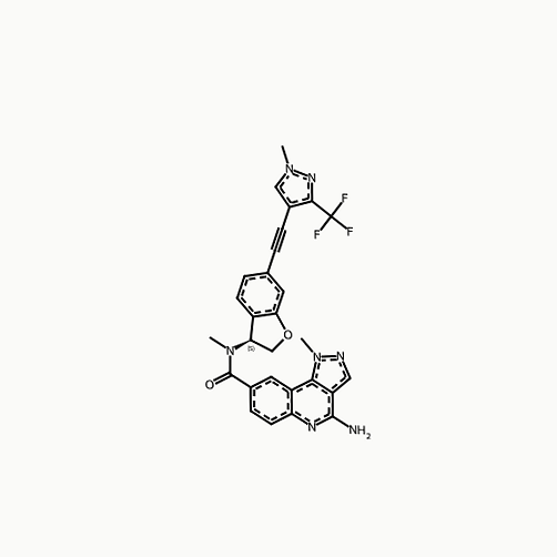 CN(C(=O)c1ccc2nc(N)c3cnn(C)c3c2c1)[C@@H]1COc2cc(C#Cc3cn(C)nc3C(F)(F)F)ccc21